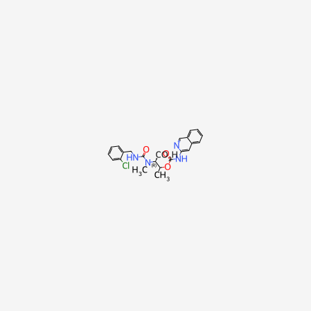 CC(OC(=O)Nc1cc2ccccc2cn1)[C@H](C(=O)O)N(C)C(=O)NCc1ccccc1Cl